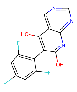 Oc1nc2ncncc2c(O)c1-c1c(F)cc(F)cc1F